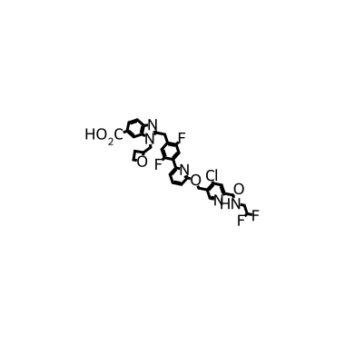 O=C(O)c1ccc2nc(Cc3cc(F)c(-c4cccc(OCc5cnc(C(=O)NCC(F)F)cc5Cl)n4)cc3F)n(CC3CCO3)c2c1